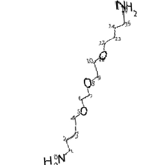 NCCCCOCCOCCOCCCCN